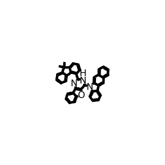 CC1(C)c2ccccc2-c2c(C3=Nc4c(oc5ccccc45)C(n4c5ccccc5c5cc6ccccc6cc54)N3)cccc21